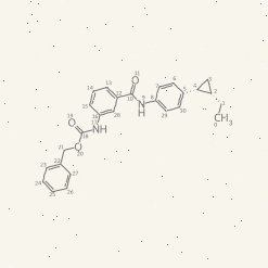 CC[C@H]1C[C@H]1c1ccc(NC(=O)c2cccc(NC(=O)OCc3ccccc3)c2)cc1